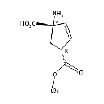 CC(C)(C)OC(=O)[C@H]1C=C[C@](N)(C(=O)O)C1